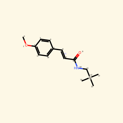 COc1ccc(/C=C/C(=O)NC[Si](C)(C)C)cc1